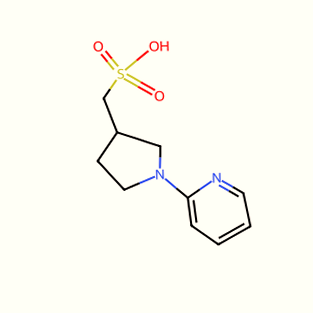 O=S(=O)(O)CC1CCN(c2ccccn2)C1